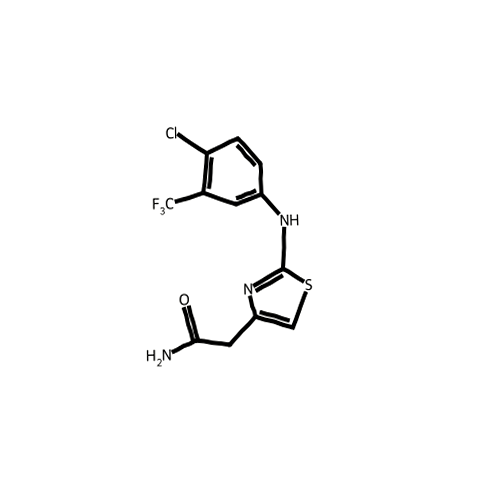 NC(=O)Cc1csc(Nc2ccc(Cl)c(C(F)(F)F)c2)n1